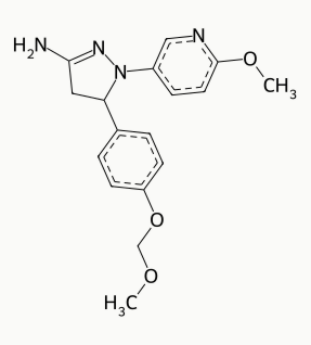 COCOc1ccc(C2CC(N)=NN2c2ccc(OC)nc2)cc1